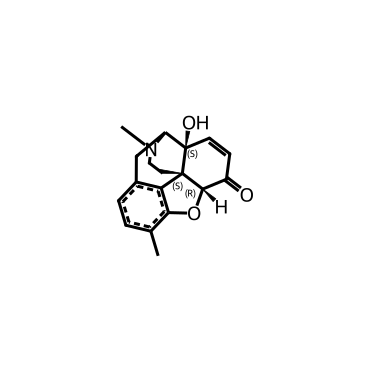 Cc1ccc2c3c1O[C@H]1C(=O)C=C[C@@]4(O)C(C2)N(C)CC[C@]314